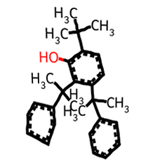 CC(C)(C)c1ccc(C(C)(C)c2ccccc2)c(C(C)(C)c2ccccc2)c1O